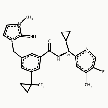 Cc1cc([C@@H](NC(=O)c2cc(Cn3ccn(C)c3=N)cc(C3(C(F)(F)F)CC3)c2)C2CC2)ncc1F